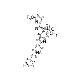 CC(C)(O)c1cc2nn(C3CCN(CCC4CCNCC4)CC3)cc2cc1NC(=O)c1cccc(C(F)(F)F)n1